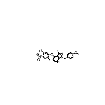 COc1ccc(Cn2nc(C)c3c(Oc4cc(Cl)c([N+](=O)[O-])cc4C)ccnc32)cc1